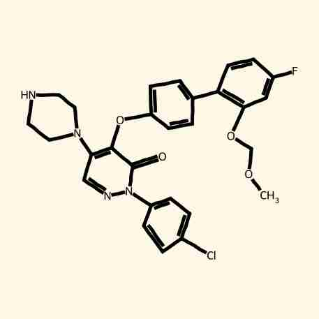 COCOc1cc(F)ccc1-c1ccc(Oc2c(N3CCNCC3)cnn(-c3ccc(Cl)cc3)c2=O)cc1